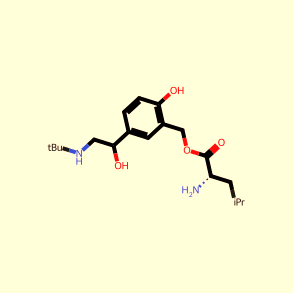 CC(C)C[C@H](N)C(=O)OCc1cc(C(O)CNC(C)(C)C)ccc1O